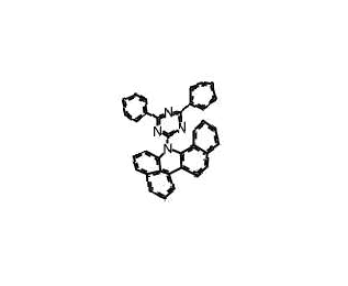 c1ccc(-c2nc(-c3ccccc3)nc(N3c4c(ccc5ccccc45)-c4cccc5cccc3c45)n2)cc1